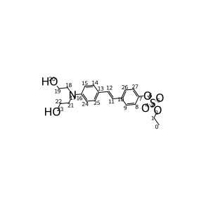 CCOS(=O)(=O)Oc1ccc(/C=C/c2ccc(N(CCO)CCO)cc2)cc1